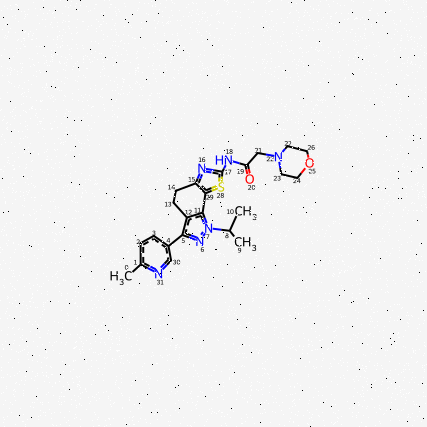 Cc1ccc(-c2nn(C(C)C)c3c2CCc2nc(NC(=O)CN4CCOCC4)sc2-3)cn1